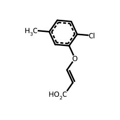 Cc1ccc(Cl)c(OC=CC(=O)O)c1